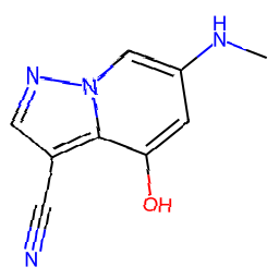 CNc1cc(O)c2c(C#N)cnn2c1